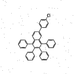 Clc1ccc(-c2ccc3c(-c4ccccc4)c(-c4ccccc4)c(-c4ccccc4)c(-c4ccccc4)c3c2)cc1